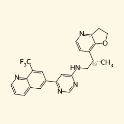 C[C@H](CNc1cc(-c2cc(C(F)(F)F)c3ncccc3c2)ncn1)c1ccnc2c1OCC2